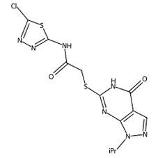 CC(C)n1ncc2c(=O)[nH]c(SCC(=O)Nc3nnc(Cl)s3)nc21